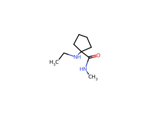 CCNC1(C(=O)NC)CCCC1